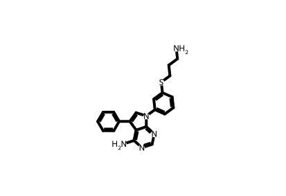 NCCCSc1cccc(-n2cc(-c3ccccc3)c3c(N)ncnc32)c1